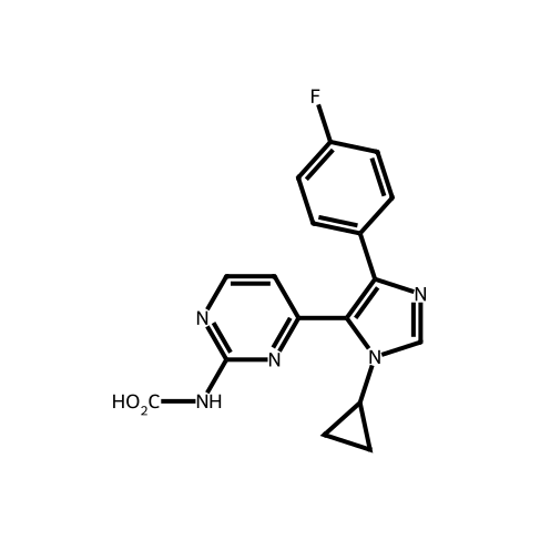 O=C(O)Nc1nccc(-c2c(-c3ccc(F)cc3)ncn2C2CC2)n1